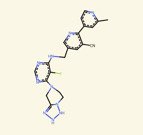 Cc1cc(-c2ncc(CNc3ncnc(N4CCN5NNN=C5C4)c3F)cc2C#N)ccn1